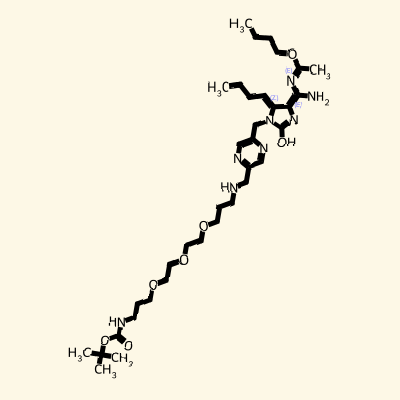 CCC/C=c1/c(=C(N)\N=C(/C)OCCCC)nc(O)n1Cc1cnc(CNCCCOCCOCCOCCCNC(=O)OC(C)(C)C)cn1